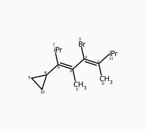 C/C(=C(Br)\C(C)=C(/C(C)C)C1CC1)C(C)C